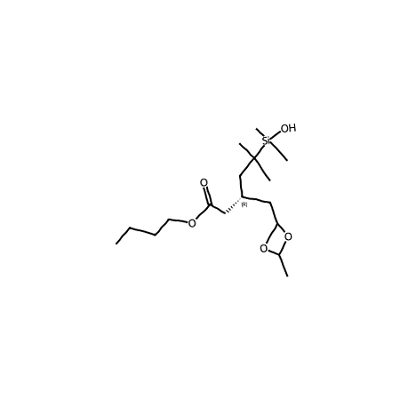 CCCCOC(=O)C[C@@H](CC1OC(C)O1)CC(C)(C)[Si](C)(C)O